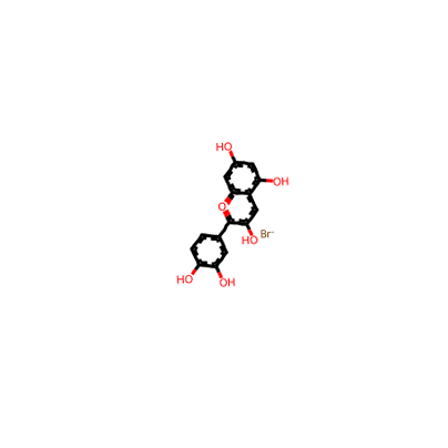 Oc1cc(O)c2cc(O)c(-c3ccc(O)c(O)c3)[o+]c2c1.[Br-]